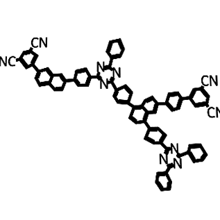 N#Cc1cc(C#N)cc(-c2ccc(-c3ccc4c(-c5ccc(-c6nc(-c7ccccc7)nc(-c7ccc(-c8ccc9ccc(-c%10cc(C#N)cc(C#N)c%10)cc9c8)cc7)n6)cc5)ccc(-c5ccc(-c6nc(-c7ccccc7)nc(-c7ccccc7)n6)cc5)c4c3)cc2)c1